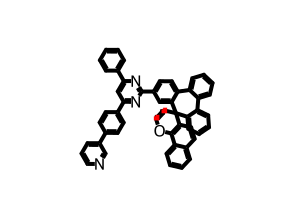 c1ccc(-c2cc(-c3ccc(-c4cccnc4)cc3)nc(-c3ccc4c(c3)C3(c5ccccc5Oc5c3ccc3ccccc53)c3ccccc3-c3ccccc3-4)n2)cc1